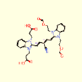 N#CC(=C\C=C1N(CCOC=O)c2ccccc2N1CCOC=O)/C=C/c1n(CCC(=O)O)c2ccccc2[n+]1CCC(=O)O